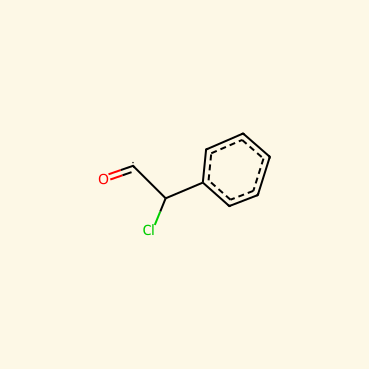 O=[C]C(Cl)c1ccccc1